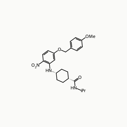 COc1ccc(COc2ccc([N+](=O)[O-])c(N[C@H]3CC[C@@H](C(=O)NC(C)C)CC3)c2)cc1